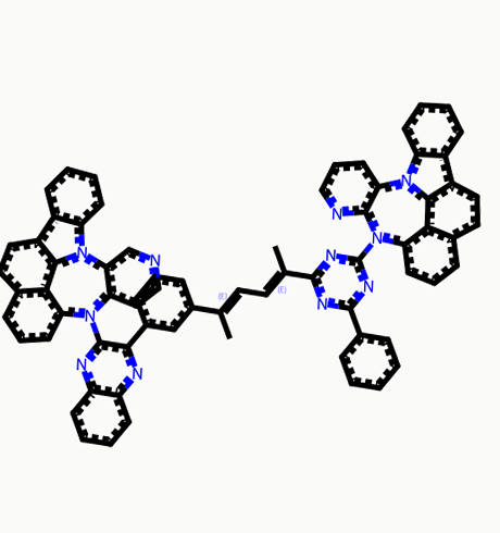 C/C(=C\C=C(/C)c1nc(-c2ccccc2)nc(-n2c3cccc4ccc5c6ccccc6n(c6cccnc62)c5c43)n1)c1cccc(-c2nc3ccccc3nc2-n2c3cccc4ccc5c6ccccc6n(c6cnccc62)c5c43)c1